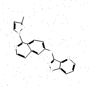 Brc1ccn(-c2nccc3cc(Nc4n[nH]c5cccnc45)ccc23)n1